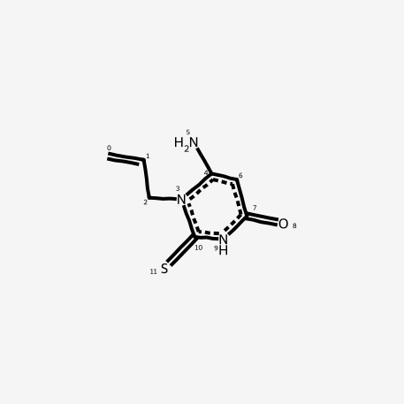 C=CCn1c(N)cc(=O)[nH]c1=S